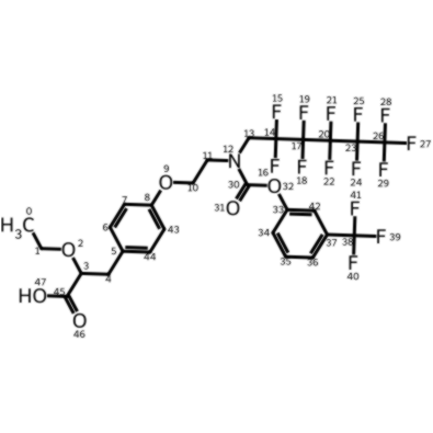 CCOC(Cc1ccc(OCCN(CC(F)(F)C(F)(F)C(F)(F)C(F)(F)C(F)(F)F)C(=O)Oc2cccc(C(F)(F)F)c2)cc1)C(=O)O